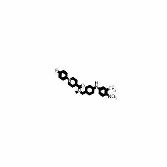 CN(CC1CCC(Nc2ccc([N+](=O)[O-])c(C(F)(F)F)c2)CC1)C(=O)C1CCN(c2ccc(F)cc2)CC1